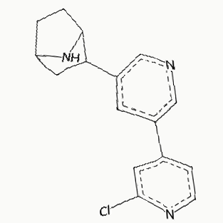 Clc1cc(-c2cncc(C3CC4CCC3N4)c2)ccn1